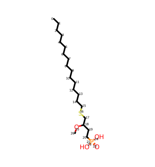 CCCCCCCCCCCCCCCCSCC(CCP(=O)(O)O)OC